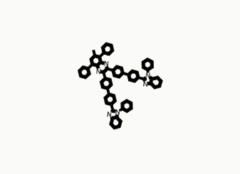 Cc1cc(-c2ccccc2)c2nc(-c3ccc(-c4ccc(-c5nc6ccccc6n5-c5ccccc5)cc4)cc3)c(-c3ccc(-c4ccc(-c5nc6ccccc6n5-c5ccccc5)cc4)cc3)nc2c1-c1ccccc1